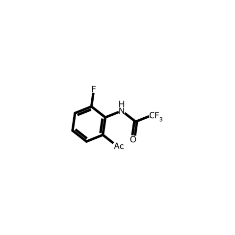 CC(=O)c1cccc(F)c1NC(=O)C(F)(F)F